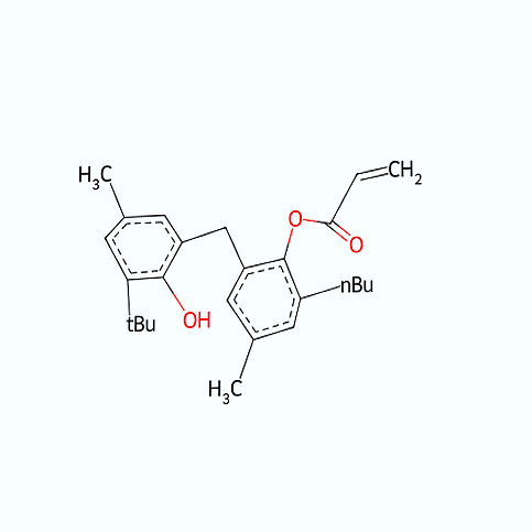 C=CC(=O)Oc1c(CCCC)cc(C)cc1Cc1cc(C)cc(C(C)(C)C)c1O